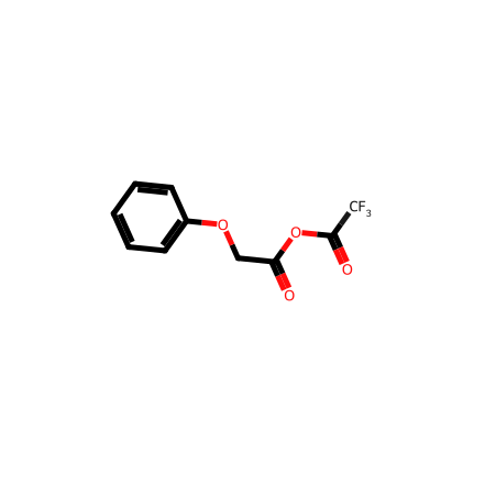 O=C(COc1ccccc1)OC(=O)C(F)(F)F